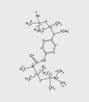 CC(=O)OC(c1ccc(OC(=O)N(C)C(C)(C)CC(C)(C)N(C)C)cc1)C(C)(C)CC(C)(C)C(C)=O